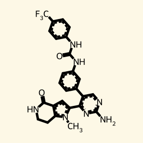 Cn1c(-c2nc(N)ncc2-c2cccc(NC(=O)Nc3ccc(C(F)(F)F)cc3)c2)cc2c1CCNC2=O